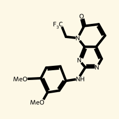 COc1ccc(Nc2ncc3ccc(=O)n(CC(F)(F)F)c3n2)cc1OC